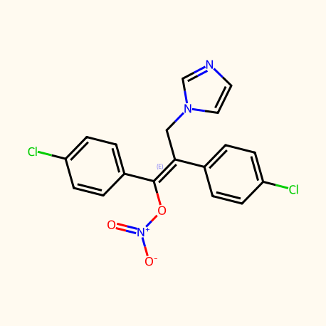 O=[N+]([O-])O/C(=C(/Cn1ccnc1)c1ccc(Cl)cc1)c1ccc(Cl)cc1